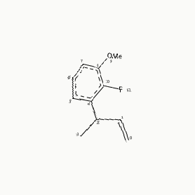 C=C[C](C)c1cccc(OC)c1F